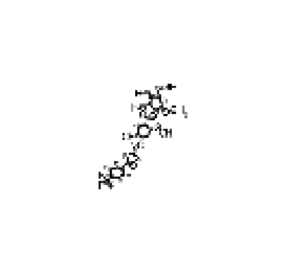 COc1cc(OCc2coc(-c3ccc(C(F)(F)F)cc3)n2)c(Cl)cc1C(=O)O[C@H]1[C@@H](OC)O[C@H](CO)[C@@H](O)[C@@H]1O